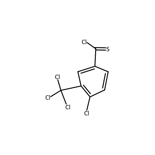 S=C(Cl)c1ccc(Cl)c(C(Cl)(Cl)Cl)c1